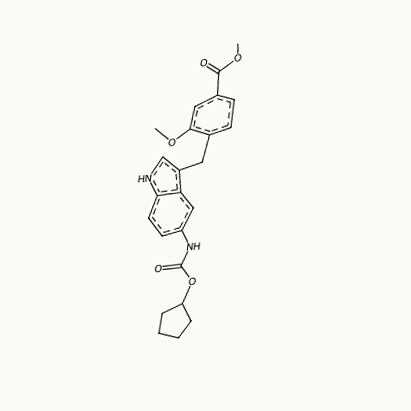 COC(=O)c1ccc(Cc2c[nH]c3ccc(NC(=O)OC4CCCC4)cc23)c(OC)c1